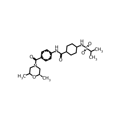 CC1CN(C(=O)c2ccc(NC(=O)C3CCC(NS(=O)(=O)C(C)C)CC3)cc2)C[C@@H](C)O1